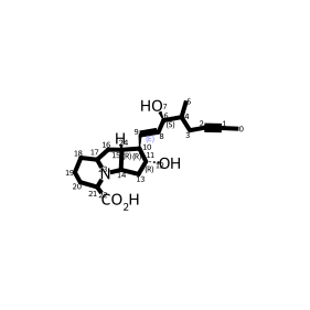 CC#CCC(C)[C@H](O)/C=C/[C@H]1[C@H](O)CC2[C@@H]1CC1CCCC(C(=O)O)N12